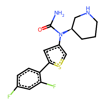 NC(=O)N(c1csc(-c2ccc(F)cc2F)c1)[C@@H]1CCCNC1